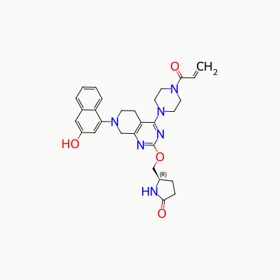 C=CC(=O)N1CCN(c2nc(OC[C@H]3CCC(=O)N3)nc3c2CCN(c2cc(O)cc4ccccc24)C3)CC1